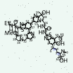 C=N/C(=C\C=C(/C)c1cc2nc(NC(=O)NCCCC(C)(O)c3ncc(-c4cc(-c5cc(CN6CC[C@@H](OC)C6)ccn5)c5sc(NC(=O)NCC)nc5c4)cn3)sc2c(CN(C)C)c1O)C(C)(C)O